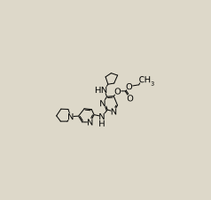 CCOC(=O)Oc1cnc(Nc2ccc(N3CCCCC3)cn2)nc1NC1CCCC1